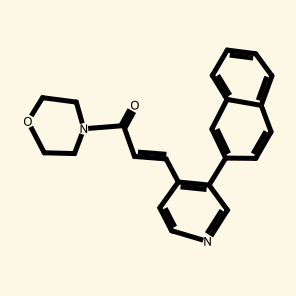 O=C(C=Cc1ccncc1-c1ccc2ccccc2c1)N1CCOCC1